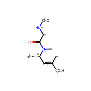 CCC[C@@H](/C=C(\C)C(=O)O)N(C)C(=O)CNC=O